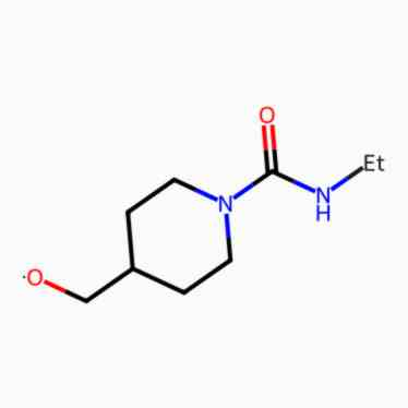 CCNC(=O)N1CCC(C[O])CC1